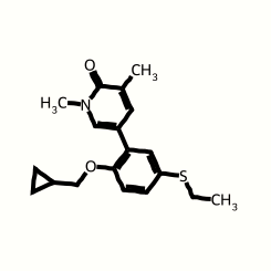 CCSc1ccc(OCC2CC2)c(-c2cc(C)c(=O)n(C)c2)c1